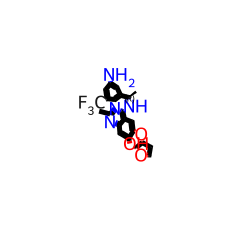 Cc1nc(N[C@H](C)c2cc(N)cc(C(F)(F)F)c2)c2cc(OC3CCOC3)c(O)cc2n1